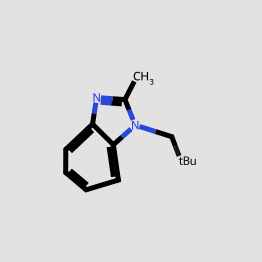 Cc1nc2ccccc2n1CC(C)(C)C